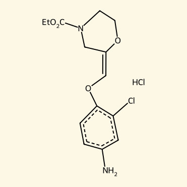 CCOC(=O)N1CCOC(=COc2ccc(N)cc2Cl)C1.Cl